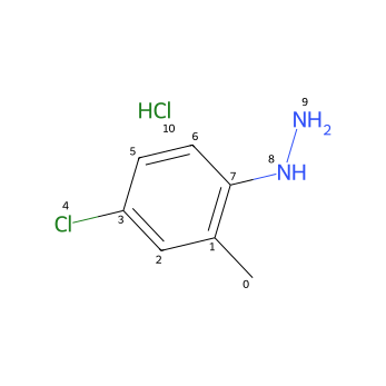 Cc1cc(Cl)ccc1NN.Cl